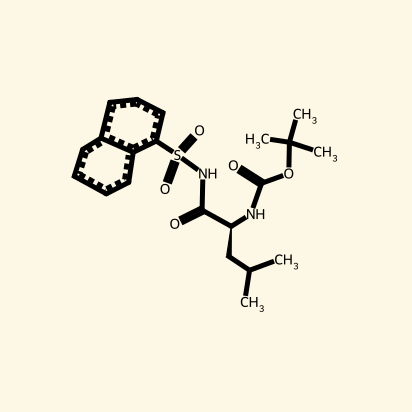 CC(C)C[C@H](NC(=O)OC(C)(C)C)C(=O)NS(=O)(=O)c1cccc2ccccc12